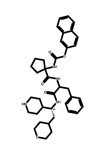 O=C(NC1(C(=O)NC(Cc2ccccc2)C(=O)N[C@H](CC2CCOCC2)C2CCNCC2)CCCC1)Oc1ccc2ccccc2c1